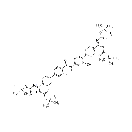 Cc1cc(NC(=O)c2ccc(C3=CCN(/C(=N/C(=O)OC(C)(C)C)NC(=O)OC(C)(C)C)CC3)cc2F)ccc1N1CCN(/C(=N/C(=O)OC(C)(C)C)NC(=O)OC(C)(C)C)CC1